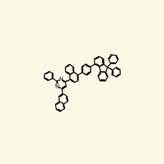 c1ccc(-c2nc(-c3ccc4ccccc4c3)cc(-c3ccc(-c4ccc(-c5cccc6c5-c5ccccc5C6(c5ccccc5)c5ccccc5)cc4)c4ccccc34)n2)cc1